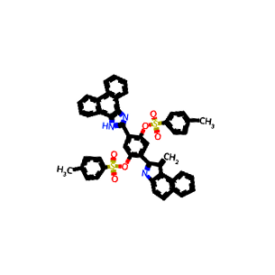 C=C1C(c2cc(OS(=O)(=O)c3ccc(C)cc3)c(-c3nc4c5ccccc5c5ccccc5c4[nH]3)cc2OS(=O)(=O)c2ccc(C)cc2)=Nc2ccc3ccccc3c21